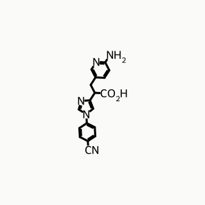 N#Cc1ccc(-n2cnc(C(Cc3ccc(N)nc3)C(=O)O)c2)cc1